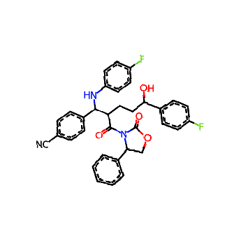 N#Cc1ccc(C(Nc2ccc(F)cc2)C(CCC(O)c2ccc(F)cc2)C(=O)N2C(=O)OCC2c2ccccc2)cc1